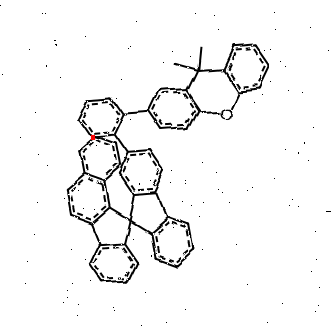 CC1(C)c2ccccc2Oc2ccc(-c3ccccc3-c3ccc4c(c3)C3(c5ccccc5-4)c4ccccc4-c4ccc5ccccc5c43)cc21